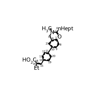 CCCCCCCC(=O)N(C)Cc1cccc(-c2ccc(C=C(CC)C(=O)O)cc2)c1